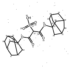 O=C(OC12CC3CC(CC(C3)C1)C2)C(C(=O)OC12CC3CC(CC(C3)C1)C2)S(=O)(=O)O